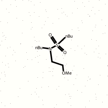 CCCCN(CCOC)S(=O)(=O)CCCC